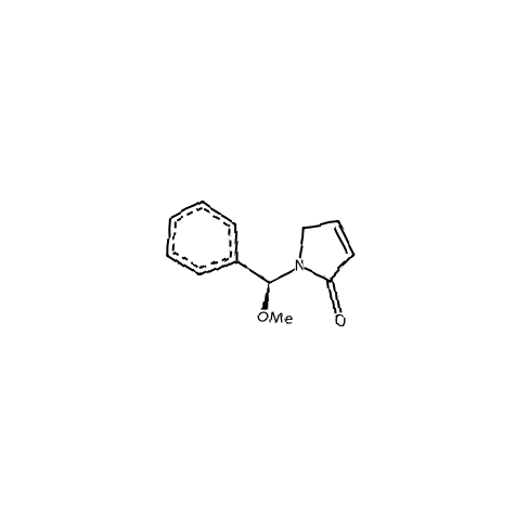 CO[C@@H](c1ccccc1)N1CC=CC1=O